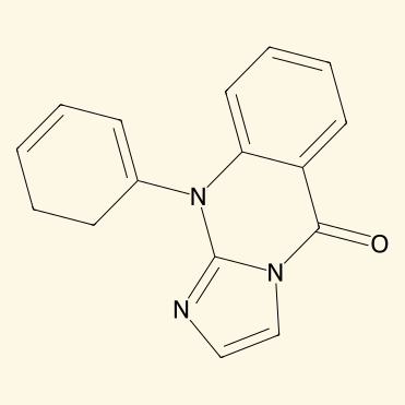 O=c1c2ccccc2n(C2=CC=CCC2)c2nccn12